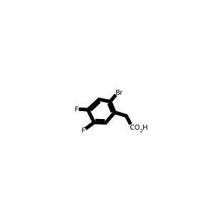 O=C(O)Cc1cc(F)c(F)cc1Br